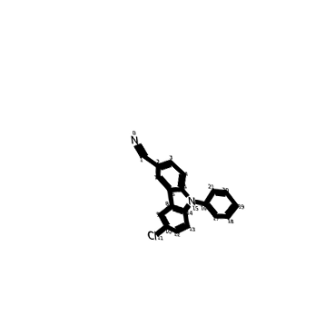 N#Cc1ccc2c(c1)c1cc(Cl)ccc1n2-c1ccccc1